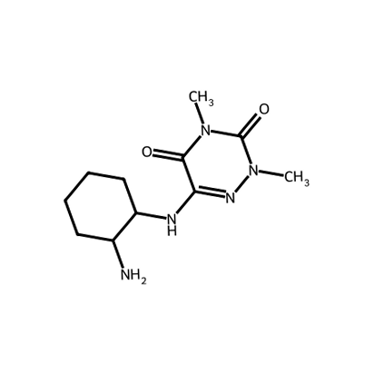 Cn1nc(NC2CCCCC2N)c(=O)n(C)c1=O